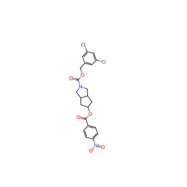 O=C(OC1CC2CN(C(=O)OCc3cc(Cl)cc(Cl)c3)CC2C1)c1ccc([N+](=O)[O-])cc1